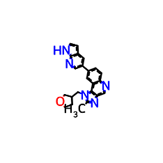 Cc1nc2cnc3ccc(-c4cnc5[nH]ccc5c4)cc3c2n1CC1CCOC1